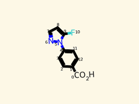 O=C(O)c1ccc(-n2nccc2F)cc1